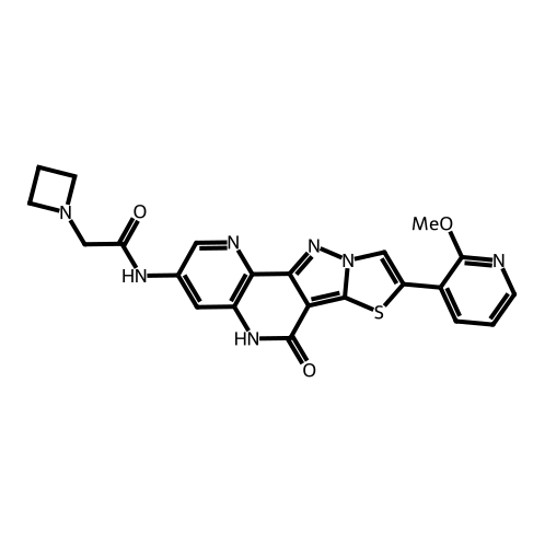 COc1ncccc1-c1cn2nc3c4ncc(NC(=O)CN5CCC5)cc4[nH]c(=O)c3c2s1